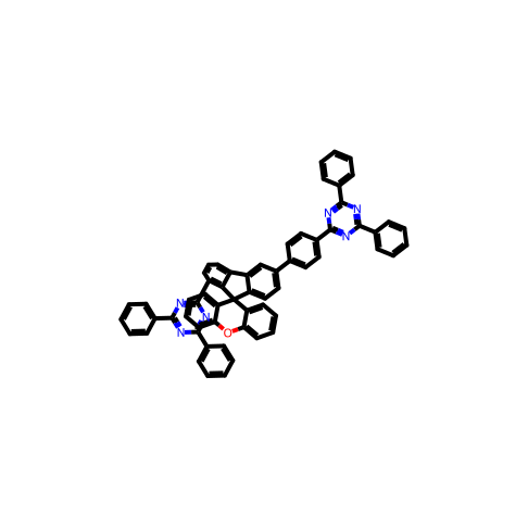 c1ccc(-c2nc(-c3ccccc3)nc(-c3ccc(-c4ccc5c(c4)-c4cccc(-c6nc(-c7ccccc7)nc(-c7ccccc7)n6)c4C54c5ccccc5Oc5ccccc54)cc3)n2)cc1